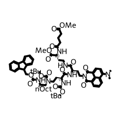 CCCCCCCC[C@@H](CN(CC[C@H](NC(=O)OC(C)(C)C)C(=O)N[C@H](CCN1C(=O)c2cccc3c(N(C)C)ccc(c23)C1=O)C(=O)NCC[C@@H](NC(=O)CCCC(=O)OC)C(=O)OC)C(=O)OC(C)(C)C)NC(=O)OCC1c2ccccc2-c2ccccc21